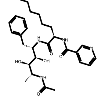 CCCCCC[C@@H](NC(=O)c1cccnc1)C(=O)N[C@@H](Cc1ccccc1)[C@@H](O)[C@H](O)[C@@H](C)NC(C)=O